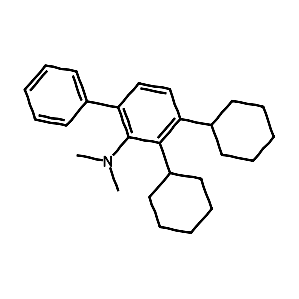 CN(C)c1c(-c2ccccc2)ccc(C2CCCCC2)c1C1CCCCC1